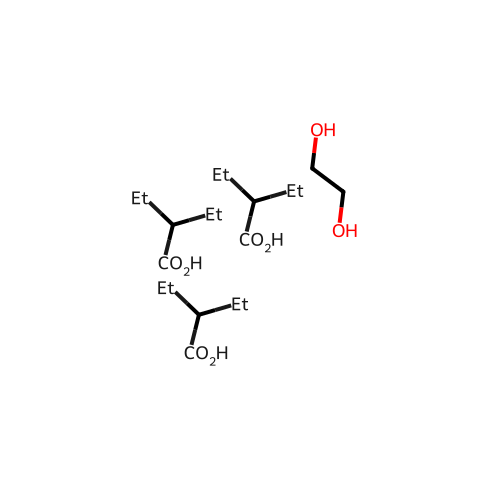 CCC(CC)C(=O)O.CCC(CC)C(=O)O.CCC(CC)C(=O)O.OCCO